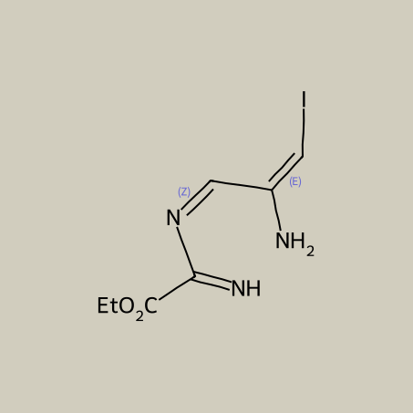 CCOC(=O)C(=N)/N=C\C(N)=C/I